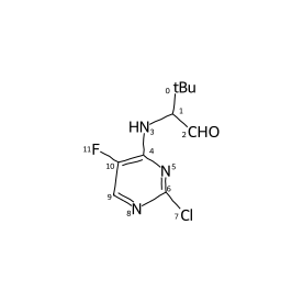 CC(C)(C)C(C=O)Nc1nc(Cl)ncc1F